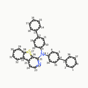 c1ccc(-c2ccc(N(c3ccc(-c4ccccc4)cc3)c3nccc4c3sc3ccccc34)cc2)cc1